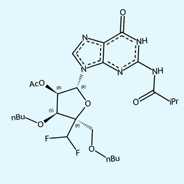 CCCCOC[C@@]1(C(F)F)O[C@@H](n2cnc3c(=O)[nH]c(NC(=O)C(C)C)nc32)[C@H](OC(C)=O)[C@@H]1OCCCC